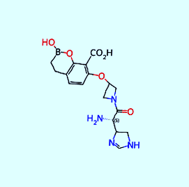 N[C@H](C(=O)N1CC(Oc2ccc3c(c2C(=O)O)OB(O)CC3)C1)C1CNC=N1